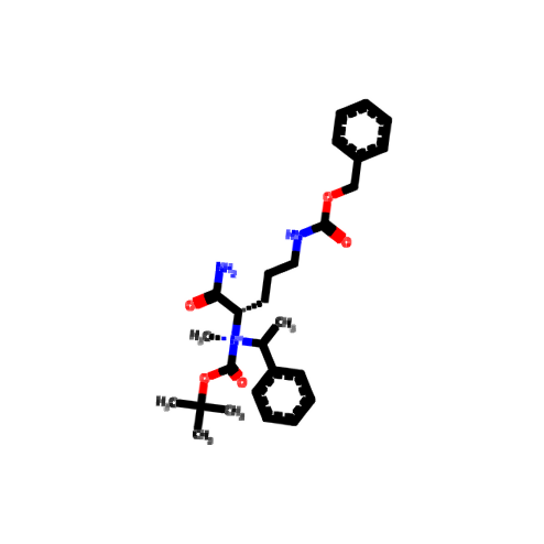 CC(c1ccccc1)[N@@+](C)(C(=O)OC(C)(C)C)[C@@H](CCCNC(=O)OCc1ccccc1)C(N)=O